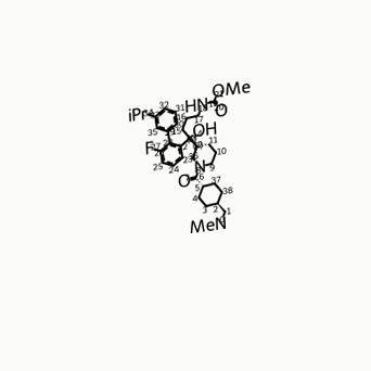 CNC[C@H]1CC[C@H](C(=O)N2CCC[C@@H]([C@@](O)(CCCNC(=O)OC)c3cccc(F)c3-c3cccc(C(C)C)c3)C2)CC1